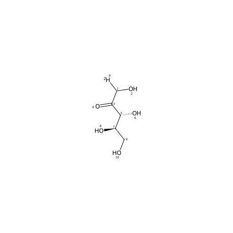 [2H]C(O)C(=O)[C@H](O)[C@H](O)CO